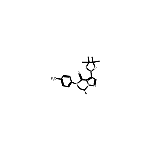 C[C@H]1CN(c2ccc(C(F)(F)F)cc2)C(=O)c2c(B3OC(C)(C)C(C)(C)O3)cnn21